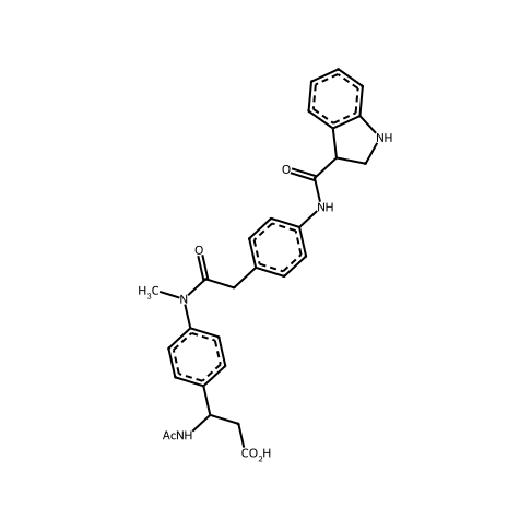 CC(=O)NC(CC(=O)O)c1ccc(N(C)C(=O)Cc2ccc(NC(=O)C3CNc4ccccc43)cc2)cc1